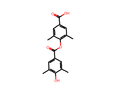 Cc1cc(C(=O)Oc2c(C)cc(C(=O)O)cc2C)cc(C)c1O